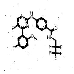 COc1ccc(F)cc1-c1nc(Nc2ccc(C(=O)NCC(F)(F)C(F)(F)F)cc2)ncc1F